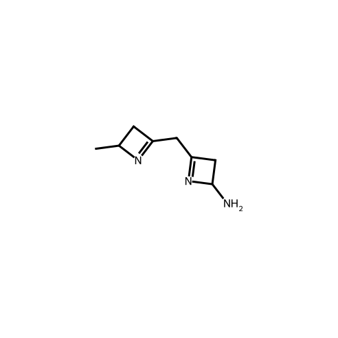 CC1CC(CC2=NC(N)C2)=N1